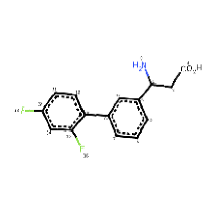 NC(CC(=O)O)c1cccc(-c2ccc(F)cc2F)c1